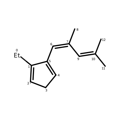 CCC1=[C]CC=C1C=C(C)C=C(C)C